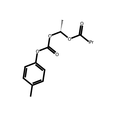 Cc1ccc(OC(=O)O[C@H](C)OC(=O)C(C)C)cc1